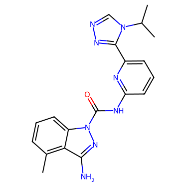 Cc1cccc2c1c(N)nn2C(=O)Nc1cccc(-c2nncn2C(C)C)n1